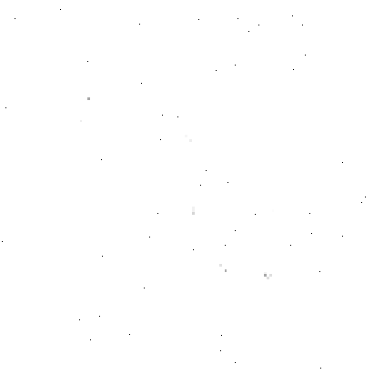 COc1ncc(NC(=O)C(=O)N2CCCC[C@H]2c2ccc(C(N)=O)s2)cc1C(N)=O